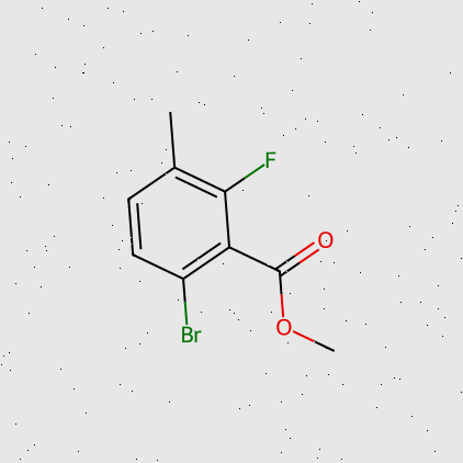 COC(=O)c1c(Br)ccc(C)c1F